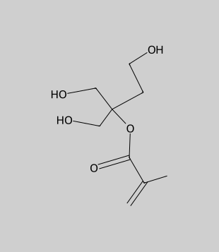 C=C(C)C(=O)OC(CO)(CO)CCO